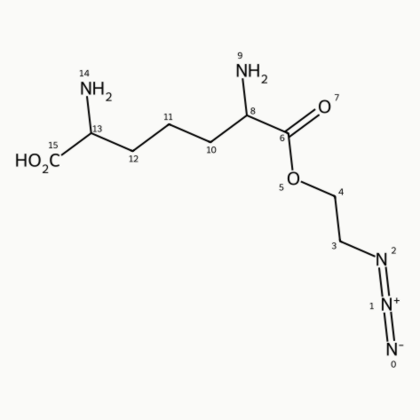 [N-]=[N+]=NCCOC(=O)C(N)CCCC(N)C(=O)O